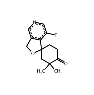 CC1(C)CC2(CCC1=O)OCc1cncc(F)c12